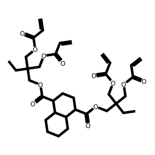 C=CC(=O)OCC(CC)(COC(=O)C=C)COC(=O)C1CCC(C(=O)OCC(CC)(COC(=O)C=C)COC(=O)C=C)C2CCCCC12